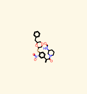 C=C(C(=O)N1CCCC(NC=O)C1)c1ccc(SC2COCC(Cc3ccccc3)O2)c([N+](=O)[O-])c1